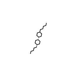 CCCCCC1CCC([C@H]2CC[C@H](CCCCC)CC2)CC1